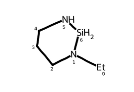 CCN1CCCN[SiH2]1